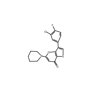 O=c1cc(N2CCCCC2)oc2c(-c3ccc(F)c(Cl)c3)csc12